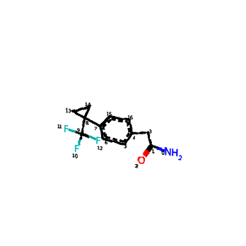 NC(=O)Cc1ccc(C2(C(F)(F)F)CC2)cc1